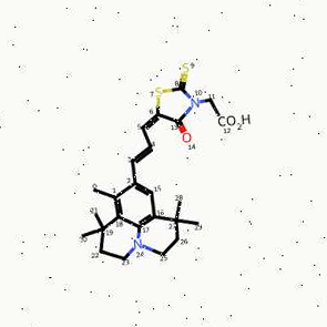 Cc1c(/C=C/C=C2/SC(=S)N(CC(=O)O)C2=O)cc2c3c1C(C)(C)CCN3CCC2(C)C